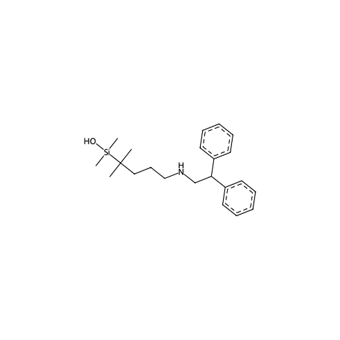 CC(C)(CCCNCC(c1ccccc1)c1ccccc1)[Si](C)(C)O